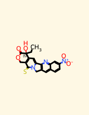 CC[C@@]1(O)C(=O)OCc2c1cc1n(c2=S)Cc2cc3ccc([N+](=O)[O-])cc3nc2-1